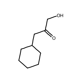 O=C(CO)CC1CCCCC1